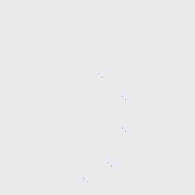 NNc1ccc(N2CCCCCCC2)nn1